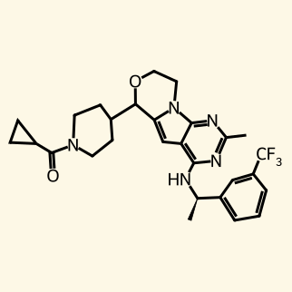 Cc1nc(N[C@H](C)c2cccc(C(F)(F)F)c2)c2cc3n(c2n1)CCOC3C1CCN(C(=O)C2CC2)CC1